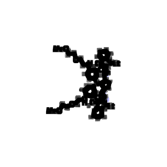 CCN1/C(=C/C=C2\CCC(/C=C/C3=[N+](CC)c4ccccc4C3(C)C)=C2N(c2ccc(OCCOCCOC)cc2)c2ccc(OCCOCCOC)cc2)C(C)(C)c2ccccc21